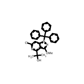 COc1nn(C(c2ccccc2)(c2ccccc2)c2ccccc2)c2cc(Cl)nc(C(C)(C)O)c12